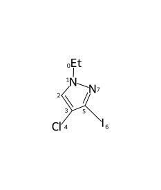 CCn1cc(Cl)c(I)n1